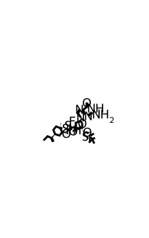 C=C(CC)[C@H]1CC[C@@](C)(S)[C@H](O[PH](=S)O[C@H]2[C@@H](F)[C@H](n3cnc4c(=O)[nH]c(N)nc43)O[C@@H]2CO[Si](C)(C)C(C)(C)C)C1